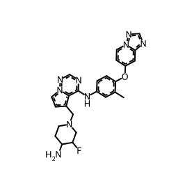 Cc1cc(Nc2ncnn3ccc(CN4CCC(N)C(F)C4)c23)ccc1Oc1ccn2ncnc2c1